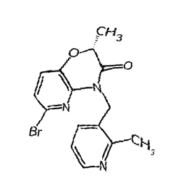 Cc1ncccc1CN1C(=O)[C@@H](C)Oc2ccc(Br)nc21